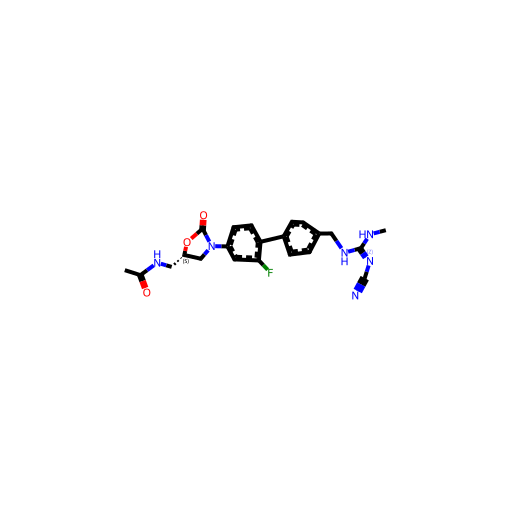 CN/C(=N/C#N)NCc1ccc(-c2ccc(N3C[C@H](CNC(C)=O)OC3=O)cc2F)cc1